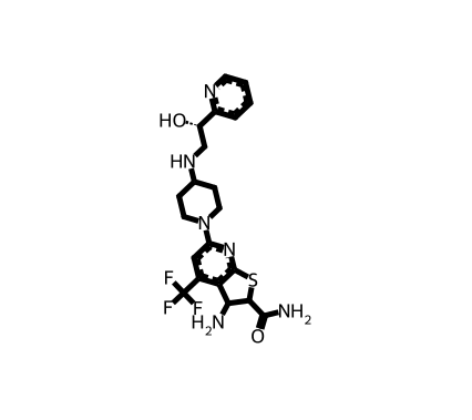 NC(=O)C1Sc2nc(N3CCC(NC[C@H](O)c4ccccn4)CC3)cc(C(F)(F)F)c2C1N